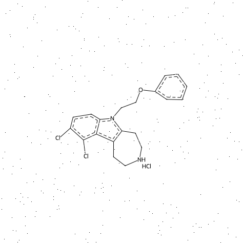 Cl.Clc1ccc2c(c1Cl)c1c(n2CCOc2ccccc2)CCNCC1